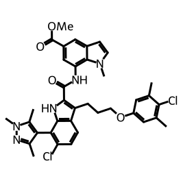 COC(=O)c1cc(NC(=O)c2[nH]c3c(-c4c(C)nn(C)c4C)c(Cl)ccc3c2CCCOc2cc(C)c(Cl)c(C)c2)c2c(ccn2C)c1